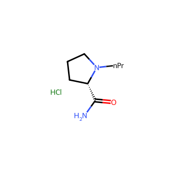 CCCN1CCC[C@H]1C(N)=O.Cl